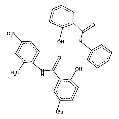 Cc1cc([N+](=O)[O-])ccc1NC(=O)c1cc(C(C)(C)C)ccc1O.O=C(Nc1ccccc1)c1ccccc1O